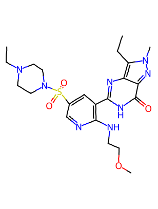 CCc1c2nc(-c3cc(S(=O)(=O)N4CCN(CC)CC4)cnc3NCCOC)[nH]c(=O)c2nn1C